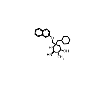 CN1C(=N)NC(COc2ccc3ccccc3c2)(CC2CCCCC2)CC1O